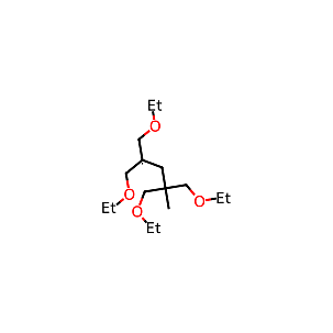 CCOC[C](COCC)CC(C)(COCC)COCC